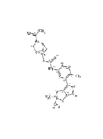 CC(=O)N1CC2CC1CC2CC(=O)Nc1cc(-c2cnn3c2CC(C)(C)C3)c(Cl)cn1